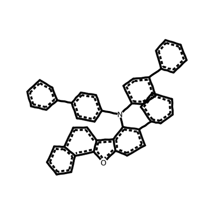 c1ccc(-c2ccc(N(c3ccc(-c4ccccc4)cc3)c3c(-c4ccccc4)ccc4oc5c6ccccc6ccc5c34)cc2)cc1